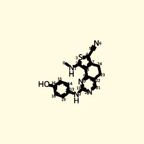 CNc1sc(C#N)c2c1-c1nc(Nc3ccc(O)cc3)ncc1CC2